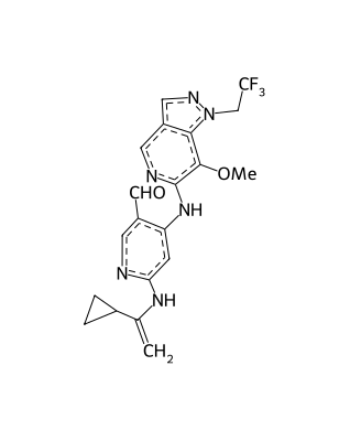 C=C(Nc1cc(Nc2ncc3cnn(CC(F)(F)F)c3c2OC)c(C=O)cn1)C1CC1